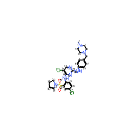 CN1CCN(Cc2ccc(Nc3ncc(Cl)c(Nc4ccc(Cl)cc4S(=O)(=O)N4CCCC4)n3)cc2)CC1